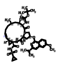 COc1ccc2c(O[C@@H]3C[C@H]4C(=O)N[C@]5(C(=O)NS(=O)(=O)C6CC6)C[C@H]5/C=C\CC[C@@H](C)C[C@@H](C)[C@H](NC(=O)OC(C)(C)C)C(=O)N4C3)nc(N(C)C)cc2c1